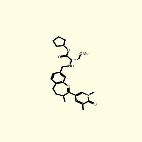 COC[C@H](NCc1ccc2c(c1)N=C(c1cc(C)c(=O)n(C)c1)C(C)CC2)C(=O)OC1CCCC1